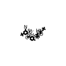 Cc1ccc(C(=O)Nc2cc(C(C)(C)C)cc(C#N)c2[S+](C)[O-])cc1-n1cc(OC(=O)NCC(C)(C)C)nn1